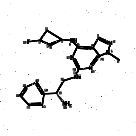 Cn1ncc2c(NC34CC(F)(C3)C4)nc(NC[C@H](N)c3ccccc3)nc21